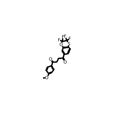 COc1ccc(C(=O)CCC(=O)c2ccc3c(c2)OC(F)(F)C(F)(F)S3)cc1